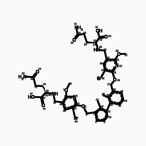 COc1nc(OCc2cccc(-c3cccc(COc4nc(OC)c(CN[C@@H](CCC(N)=O)C(=O)O)cc4Br)c3C)c2C)c(Br)cc1CN[C@@H](CCC(N)=O)C(=O)O